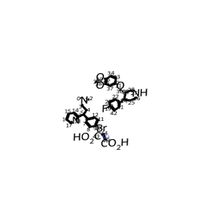 CN(C)CCC(c1ccc(Br)cc1)c1ccccn1.Fc1ccc([C@@H]2CCNC[C@H]2COc2ccc3c(c2)OCO3)cc1.O=C(O)/C=C\C(=O)O